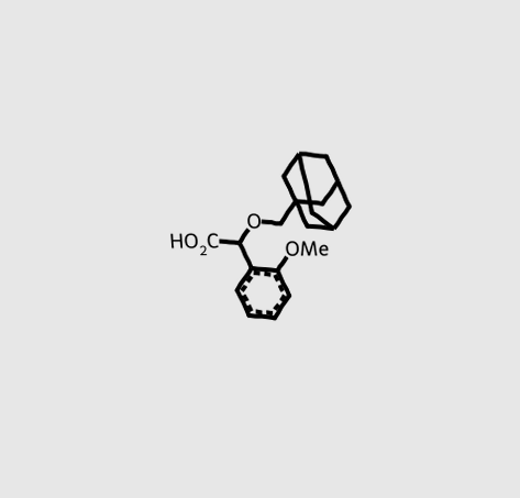 COc1ccccc1C(OCC12CC3CC(CC(C3)C1)C2)C(=O)O